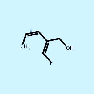 C/C=C\C(=CF)CO